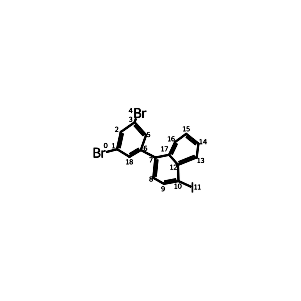 Brc1cc(Br)cc(-c2ccc(I)c3ccccc23)c1